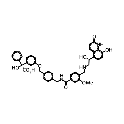 COc1cc(C(=O)NCc2ccc(COc3cccc([C@](O)(C(=O)O)c4ccccc4)c3)cc2)ccc1CNC[C@H](O)c1ccc(O)c2[nH]c(=O)ccc12